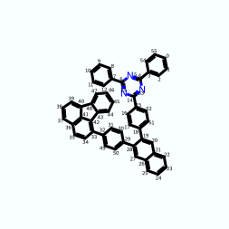 c1ccc(-c2nc(-c3ccccc3)nc(-c3ccc(-c4cc5ccccc5cc4-c4ccc(-c5ccc6cccc7c6c5-c5ccccc5-7)cc4)cc3)n2)cc1